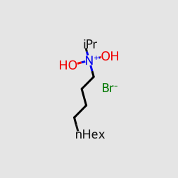 CCCCCCCCCC[N+](O)(O)C(C)C.[Br-]